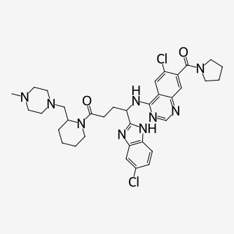 CN1CCN(CC2CCCCN2C(=O)CCC(Nc2ncnc3cc(C(=O)N4CCCC4)c(Cl)cc23)c2nc3cc(Cl)ccc3[nH]2)CC1